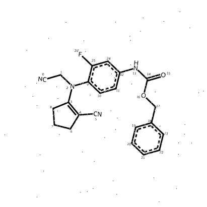 N#CCN(C1=C(C#N)CCC1)c1ccc(NC(=O)OCc2ccccc2)cc1F